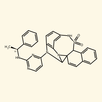 C[C@H](Nc1nccc(N2c3ccc4cc3N3C2C32C=Cc3ccccc3C2S(=O)(=O)N4)n1)c1ccccc1